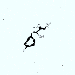 CCc1ccc(/N=C(S)/C(C)=C/S)cc1